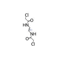 O=C(CCl)N/C=C/NC(=O)CCl